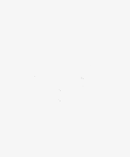 Cc1ccc(C(F)(F)CNC(=O)c2c(Oc3cccc(C(F)(F)F)c3)nnc3cc(F)ccc23)cc1C